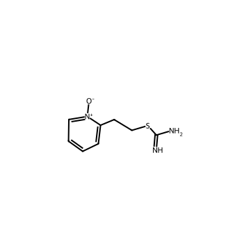 N=C(N)SCCc1cccc[n+]1[O-]